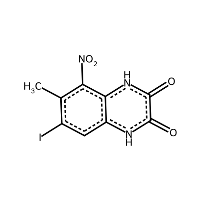 Cc1c(I)cc2[nH]c(=O)c(=O)[nH]c2c1[N+](=O)[O-]